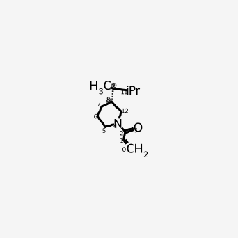 C=CC(=O)N1CCC[C@H](C(C)C(C)C)C1